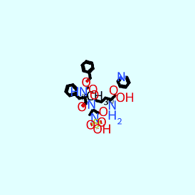 C[C@@](Cc1ccccc1)(NC(=O)OCc1ccccc1)C(=O)N(C(=O)CC[C@@H](N)C(=O)O)C1CN(S(=O)(=O)O)C1=O.c1ccncc1